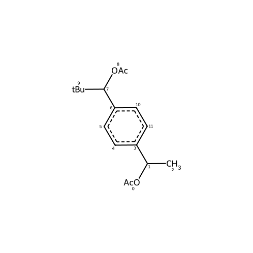 CC(=O)OC(C)c1ccc(C(OC(C)=O)C(C)(C)C)cc1